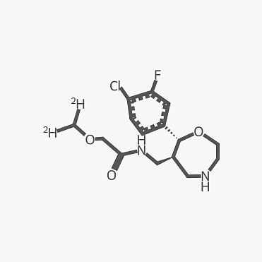 [2H]C([2H])OCC(=O)NC[C@@H]1CNCCO[C@H]1c1ccc(Cl)c(F)c1